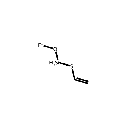 C=CS[SiH2]OCC